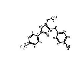 OCc1sc(-c2ccc(C(F)(F)F)cc2)nc1Cc1ccc(Br)cc1